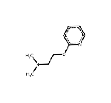 CN(C)CCOc1cc[c]cn1